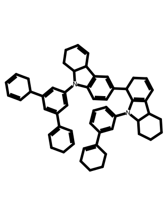 C1=CCC(c2cc(C3=CCCC=C3)cc(N3c4ccc(C5CC=CC6=C5N(c5cccc(C7=CCCCC7)c5)C5CCCCC65)cc4C4C=CCCC43)c2)C=C1